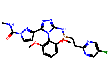 CNC(=O)n1ccc(-c2nnc(N[S+]([O-])CCc3ncc(F)cn3)n2-c2c(OC)cccc2OC)n1